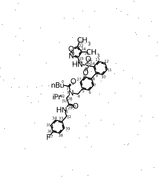 CCCCC(=O)N(Cc1ccc(-c2ccccc2S(=O)(=O)Nc2noc(C)c2C)cc1)[C@H](C(=O)NCc1ccc(F)cc1)C(C)C